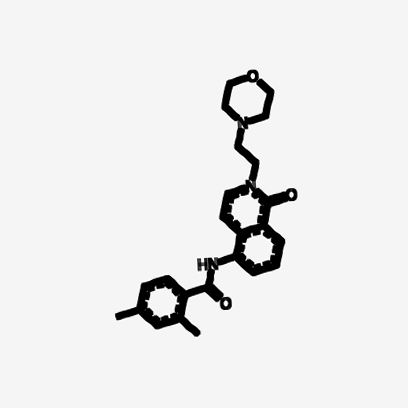 Cc1ccc(C(=O)Nc2cccc3c(=O)n(CCN4CCOCC4)ccc23)c(C)c1